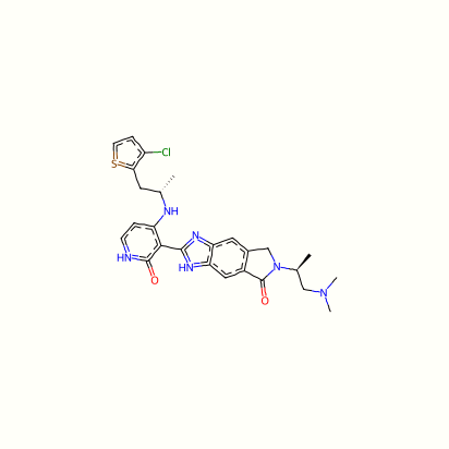 C[C@@H](Cc1sccc1Cl)Nc1cc[nH]c(=O)c1-c1nc2cc3c(cc2[nH]1)C(=O)N([C@@H](C)CN(C)C)C3